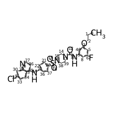 CCCOc1cc(F)cc(NC(=O)N2CCN(S(=O)(=O)c3ccc(Nc4ccnc5cc(Cl)ccc45)cc3)CC2)c1